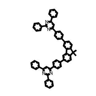 CC1(C)c2ccc(-c3ccc(-c4cc(-c5ccccc5)nc(-c5ccccc5)n4)cc3)cc2-c2cc(-c3ccc(-c4cc(-c5ccccc5)nc(-c5ccccc5)n4)cc3)ccc21